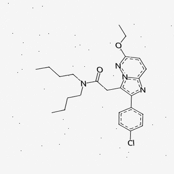 CCCCN(CCCC)C(=O)Cc1c(-c2ccc(Cl)cc2)nc2ccc(OCC)nn12